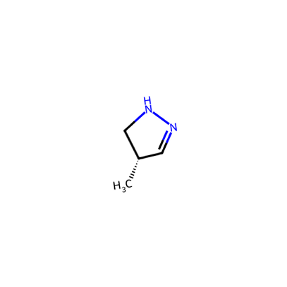 C[C@H]1C=NNC1